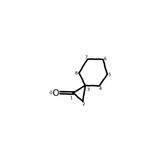 O=C1CC12CCCCC2